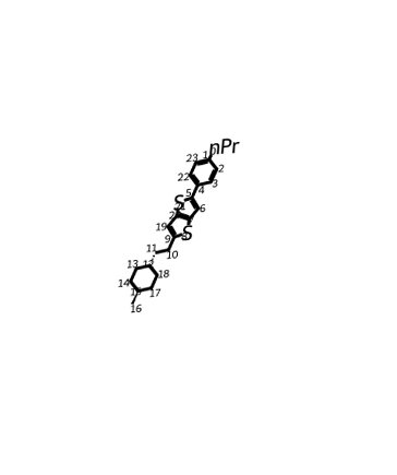 CCCc1ccc(-c2cc3sc(CC[C@H]4CC[C@H](C)CC4)cc3s2)cc1